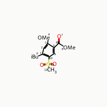 CCC(C)c1cc(OC)c(C(=O)OC)cc1S(C)(=O)=O